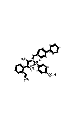 C=Cc1ccccc1/C(C)=C(\N)N(Cc1ccc(-c2ccccc2)cc1)S(=O)(=O)c1ccc(C(=O)O)cc1